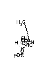 CCCCCCCCCCCCCCC(C#N)(CCCCCCN1CCC(C(=O)c2ccc(F)cc2)CC1)c1ccc(OC)c(OC)c1.Cl